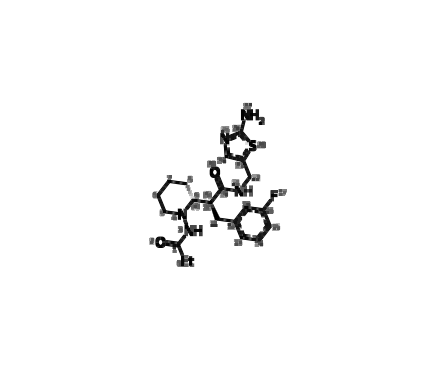 CCC(=O)NN1CCCC[C@@H]1[C@H](Cc1cccc(F)c1)C(=O)NCc1cnc(N)s1